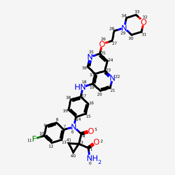 NC(=O)C1(C(=O)N(c2ccc(F)cc2)c2ccc(Nc3ccnc4cc(OCCN5CCOCC5)ncc34)cc2)CC1